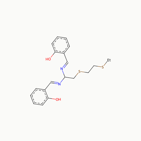 CCSCCSCC(N=Cc1ccccc1O)N=Cc1ccccc1O